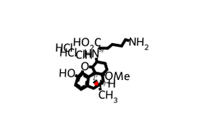 CO[C@@]12CCC(N[C@@H](CCCCN)C(=O)O)C3Oc4c(O)ccc5c4[C@@]31CCN(C)[C@@H]2C5.Cl.Cl.Cl